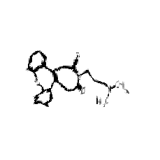 CN(C)CCCN1C(=O)CC2=C(CC1=O)c1ccccc1Sc1ccccc12